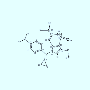 CC(C)c1ccc([C@@H](C2CC2)n2nc(CF)c3c(=O)[nH]c(N(C)C)nc32)cc1